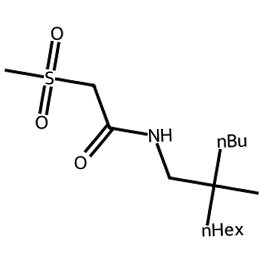 CCCCCCC(C)(CCCC)CNC(=O)CS(C)(=O)=O